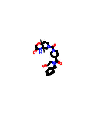 O=C1CO[C@H]2CCN(C(=O)N3CCC(C(=O)N(CCO)Cc4ccccc4)CC3)C[C@H]2N1